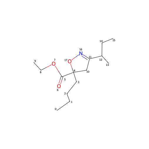 CCCCC1(C(=O)OCC)CC(C(C)CC)=NO1